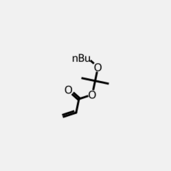 C=CC(=O)OC(C)(C)OCCCC